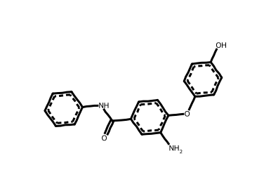 Nc1cc(C(=O)Nc2ccccc2)ccc1Oc1ccc(O)cc1